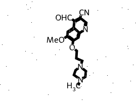 COc1cc2c(C=O)c(C#N)cnc2cc1OCCCN1CCN(C)CC1